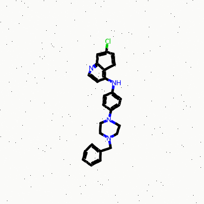 Clc1ccc2c(Nc3ccc(N4CCN(Cc5ccccc5)CC4)cc3)ccnc2c1